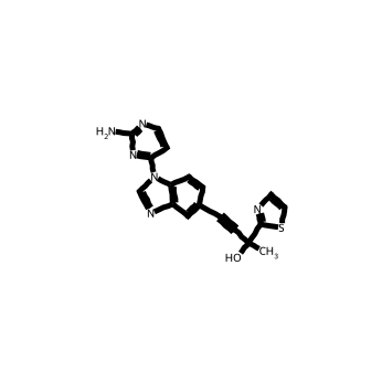 CC(O)(C#Cc1ccc2c(c1)ncn2-c1ccnc(N)n1)c1nccs1